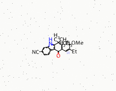 C=C(OC)/C(=C\C1=C(C)C(C)(C)c2[nH]c3cc(C#N)ccc3c2C1=O)CC